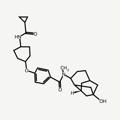 CN(C(=O)c1ccc(OC2CCC(NC(=O)C3CC3)CC2)cc1)C1CCC2C[C@@H]3CC(O)(C2)CC13